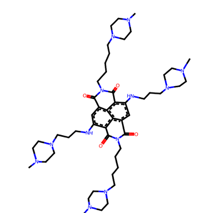 CN1CCN(CCCCCN2C(=O)c3cc(NCCCN4CCN(C)CC4)c4c5c(cc(NCCCN6CCN(C)CC6)c(c35)C2=O)C(=O)N(CCCCCN2CCN(C)CC2)C4=O)CC1